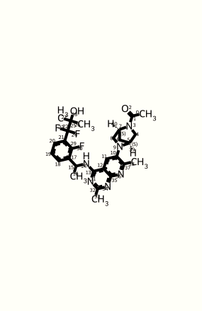 CC(=O)N1C[C@@H]2C[C@H]1CN2c1cc2c(NC(C)c3cccc(C(F)(F)C(C)(C)O)c3F)nc(C)nc2nc1C